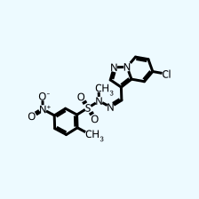 Cc1ccc([N+](=O)[O-])cc1S(=O)(=O)N(C)/N=C\c1cnn2ccc(Cl)cc12